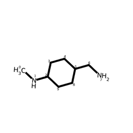 CNC1CCC(CN)CC1